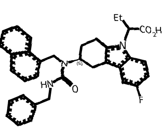 CCC(C(=O)O)n1c2c(c3cc(F)ccc31)C[C@@H](N(Cc1cccc3ccccc13)C(=O)NCc1ccccc1)CC2